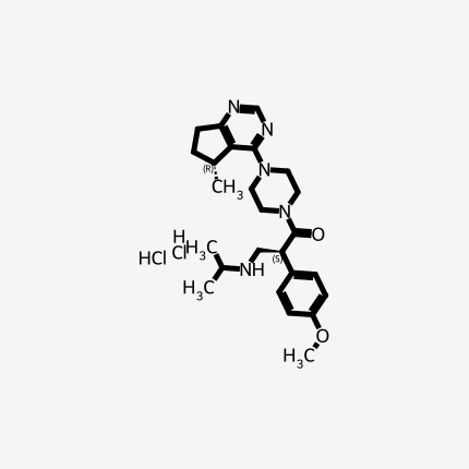 COc1ccc([C@@H](CNC(C)C)C(=O)N2CCN(c3ncnc4c3[C@H](C)CC4)CC2)cc1.Cl.Cl